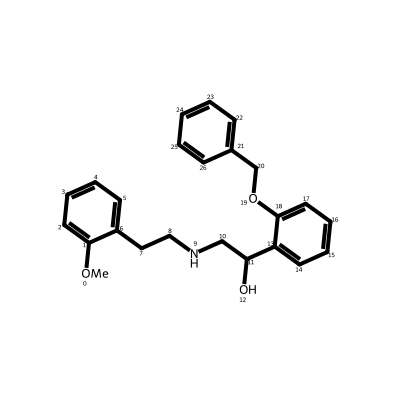 COc1ccccc1CCNCC(O)c1ccccc1OCc1ccccc1